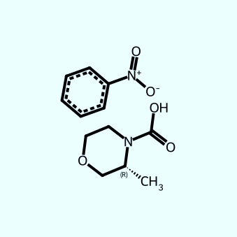 C[C@@H]1COCCN1C(=O)O.O=[N+]([O-])c1ccccc1